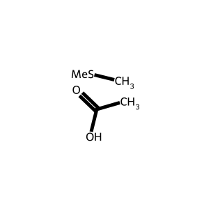 CC(=O)O.CSC